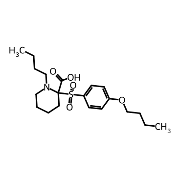 CCCCOc1ccc(S(=O)(=O)C2(C(=O)O)CCCCN2CCCC)cc1